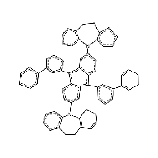 C1=CC(c2cccc(-c3c4ccc(N5c6ccccc6CCc6ccccc65)cc4c(-c4cccc(-c5ccccc5)c4)c4ccc(N5C6=C(C=CCC6)CCc6ccccc65)cc34)c2)=CCC1